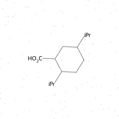 CC(C)C1CCC(C(C)C)C(C(=O)O)C1